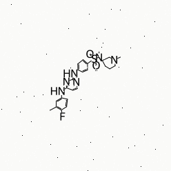 Cc1cc(Nc2ccnc(Nc3ccc(S(=O)(=O)N(C)C4CCCN(C)C4)cc3)n2)ccc1F